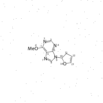 COc1ncnc2c1ncn2C1CC=CO1